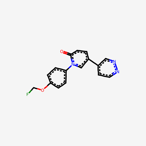 O=c1ccc(-c2ccnnc2)cn1-c1ccc(OCF)cc1